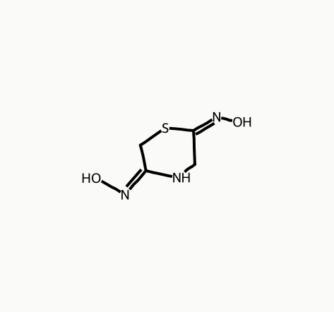 ON=C1CSC(=NO)CN1